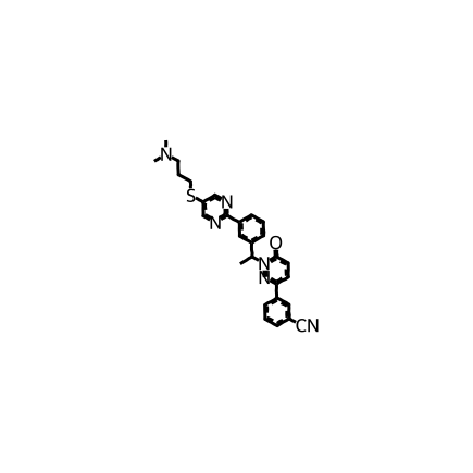 CC(c1cccc(-c2ncc(SCCCN(C)C)cn2)c1)n1nc(-c2cccc(C#N)c2)ccc1=O